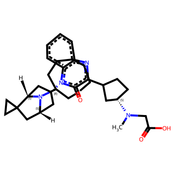 CN(CC(=O)O)[C@H]1CCC(c2nc3ccccc3n([C@@H]3C[C@@H]4CC5(CC5)[C@H](C3)N4C3CCCCCCC3)c2=O)C1